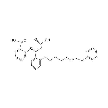 O=C(O)CC(Sc1ccccc1C(=O)O)c1ccccc1CCCCCCCCc1ccccc1